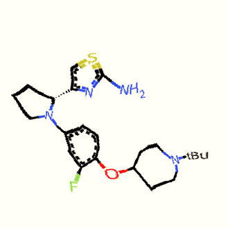 CC(C)(C)N1CCC(Oc2ccc(N3CCC[C@@H]3c3csc(N)n3)cc2F)CC1